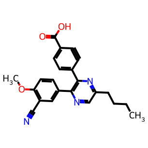 CCCCc1cnc(-c2ccc(OC)c(C#N)c2)c(-c2c#cc(C(=O)O)cc2)n1